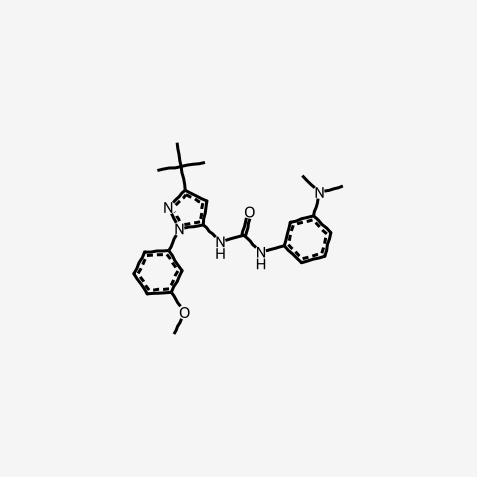 COc1cccc(-n2nc(C(C)(C)C)cc2NC(=O)Nc2cccc(N(C)C)c2)c1